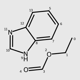 CCOC=O.c1ccc2[nH]cnc2c1